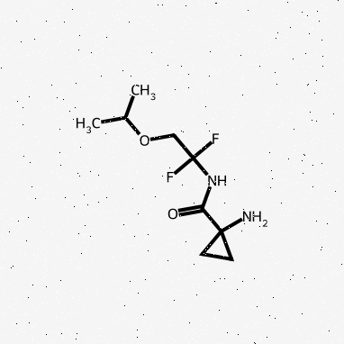 CC(C)OCC(F)(F)NC(=O)C1(N)CC1